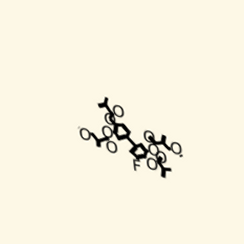 C=C(C)C(=O)Oc1ccc(-c2cc(F)c(OC(=O)C(=C)C)c(OC(=O)C(=C)COC)c2)cc1OC(=O)C(=C)COC